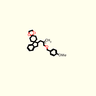 COc1ccc(COC[C@H](C)CC2Cc3ccccc3C23CCC2(CC3)OCCO2)cc1